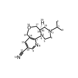 CC(C)N1CCN2c3ncc(C#N)cc3COC[C@H]2C1